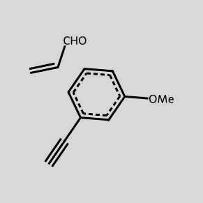 C#Cc1cccc(OC)c1.C=CC=O